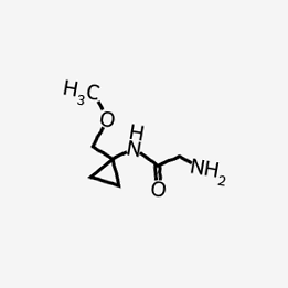 COCC1(NC(=O)CN)CC1